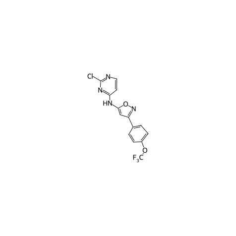 FC(F)(F)Oc1ccc(-c2cc(Nc3ccnc(Cl)n3)on2)cc1